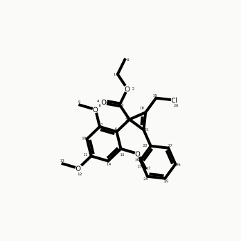 CCOC(=O)C1(c2c(OC)cc(OC)cc2OC)C(CCl)=C1c1ccccc1